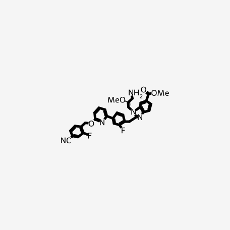 COC(=O)c1ccc2nc(Cc3ccc(-c4cccc(OCc5ccc(C#N)cc5F)n4)cc3F)n(C[C@@H](CN)OC)c2c1